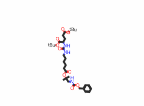 CC(C)(C)OC(=O)CCC(NC(=O)NCCCCCC(=O)OC(C)(C)CNC(=O)OCc1ccccc1)C(=O)OC(C)(C)C